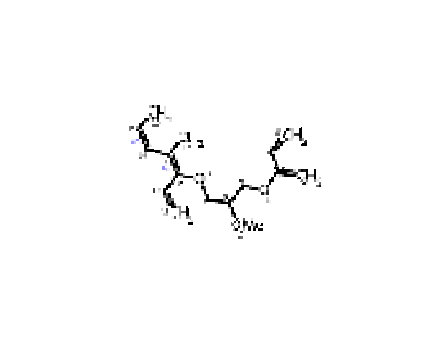 C=CC(=C)OCC(CO/C(C=C)=C(C)/C=C\C)OC